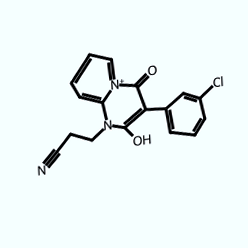 N#CCCn1c(O)c(-c2cccc(Cl)c2)c(=O)[n+]2ccccc12